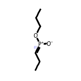 CC/C=[P+](\[O-])OCCC